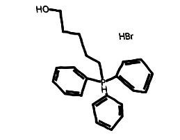 Br.OCCCCC[PH](c1ccccc1)(c1ccccc1)c1ccccc1